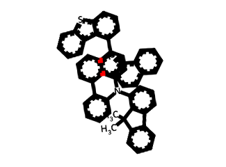 CC1(C)c2ccccc2-c2cccc(N(c3ccc(-c4cccc5sc6ccccc6c45)cc3)c3ccccc3-c3cccc4oc5c6ccccc6ccc5c34)c21